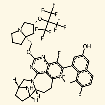 Cc1c(F)ccc2cc(O)cc(-c3c(F)c4nc(OC[C@]56CCCN5C[C@H](OC(C(F)(F)F)(C(F)(F)F)C(F)(F)F)C6)nc5c4c([n+]3C)CC[C@@H]3[C@@H]4CC[C@H](CN53)N4)c12